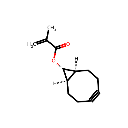 C=C(C)C(=O)O[C@H]1[C@@H]2CCC#CCC[C@@H]21